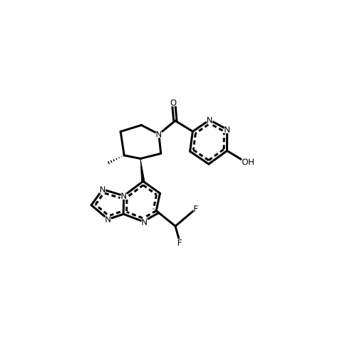 C[C@@H]1CCN(C(=O)c2ccc(O)nn2)C[C@H]1c1cc(C(F)F)nc2ncnn12